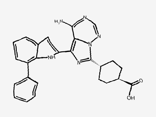 Nc1ncnn2c1c(-c1cc3cccc(-c4ccccc4)c3[nH]1)nc2[C@H]1CC[C@H](C(=O)O)CC1